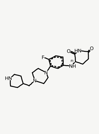 O=C1CC[C@@H](Nc2ccc(F)c(N3CCN(CC4CCNCC4)CC3)c2)C(=O)N1